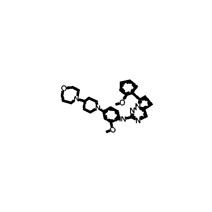 COc1cc(N2CCC(N3CCCOCC3)CC2)ccc1Nc1ncc2ccc(-c3ccccc3OC)n2n1